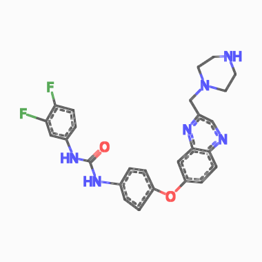 O=C(Nc1ccc(Oc2ccc3ncc(CN4CCNCC4)nc3c2)cc1)Nc1ccc(F)c(F)c1